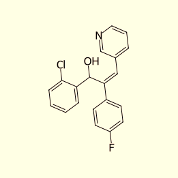 OC(C(=Cc1cccnc1)c1ccc(F)cc1)c1ccccc1Cl